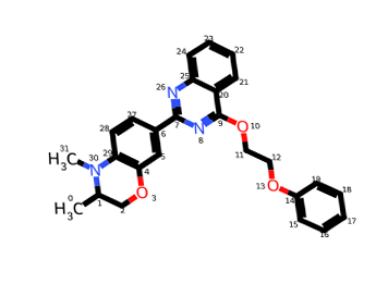 CC1COc2cc(-c3nc(OCCOc4ccccc4)c4ccccc4n3)ccc2N1C